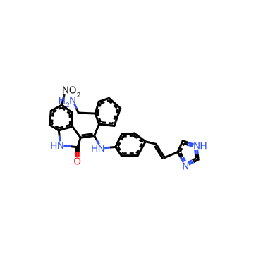 NCc1ccccc1C(Nc1ccc(C=Cc2c[nH]cn2)cc1)=C1C(=O)Nc2ccc([N+](=O)[O-])cc21